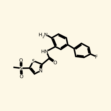 CS(=O)(=O)c1cnc(C(=O)Nc2cc(-c3ccc(F)cc3)ccc2N)s1